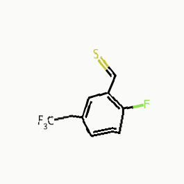 Fc1ccc(C(F)(F)F)cc1C=S